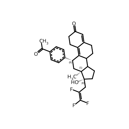 CC(=O)c1ccc([C@H]2C[C@@]3(C)C(CC[C@@]3(O)CC(F)=C(F)F)C3CCC4=CC(=O)CCC4=C32)cc1